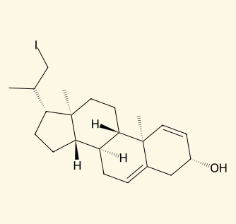 CC(CI)[C@H]1CC[C@H]2[C@@H]3CC=C4C[C@@H](O)C=C[C@]4(C)[C@H]3CC[C@]12C